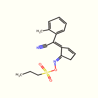 CCCS(=O)(=O)O/N=C1\CC=C\C1=C(\C#N)c1ccccc1C